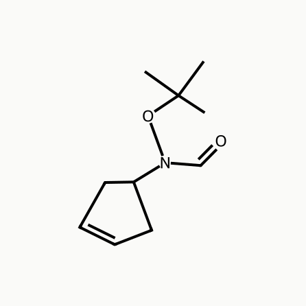 CC(C)(C)ON(C=O)C1CC=CC1